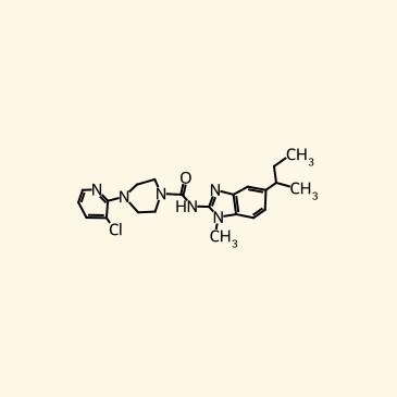 CCC(C)c1ccc2c(c1)nc(NC(=O)N1CCN(c3ncccc3Cl)CC1)n2C